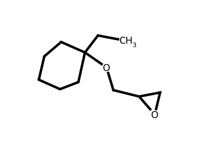 CCC1(OCC2CO2)CCCCC1